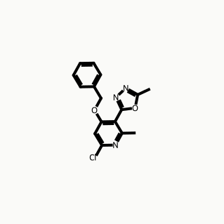 Cc1nnc(-c2c(OCc3ccccc3)cc(Cl)nc2C)o1